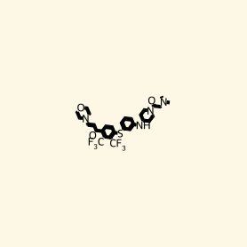 CN(C)CC(=O)N1CCC(Nc2cccc(Sc3ccc(C(=O)C=CN4CCOCC4)c(C(F)(F)F)c3C(F)(F)F)c2)CC1